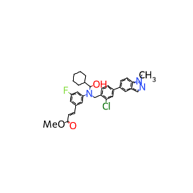 COC(=O)/C=C/c1cc(F)cc(N(Cc2ccc(-c3ccc4c(cnn4C)c3)cc2Cl)C(O)C2CCCCC2)c1